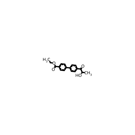 CCOC(=O)c1ccc(-c2ccc(C(=O)C(C)O)cc2)cc1